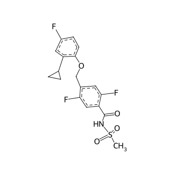 CS(=O)(=O)NC(=O)c1cc(F)c(COc2ccc(F)cc2C2CC2)cc1F